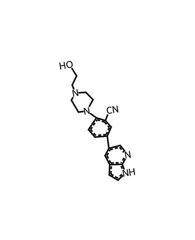 N#Cc1cc(-c2cnc3[nH]ccc3c2)ccc1N1CCN(CCO)CC1